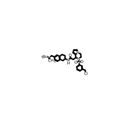 CN(Cc1ccc2c(c1)CCC(NC(=O)CC1c3cccn3CCN1S(=O)(=O)c1cccc(CCl)c1)C2)C(C)(C)C